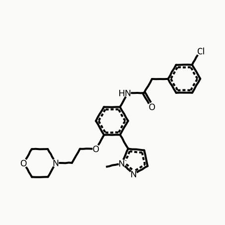 Cn1nccc1-c1cc(NC(=O)Cc2cccc(Cl)c2)ccc1OCCN1CCOCC1